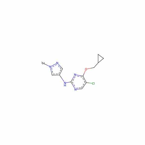 [2H]n1cc(Nc2ncc(Cl)c(OCC3CC3)n2)cn1